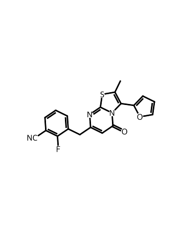 Cc1sc2nc(Cc3cccc(C#N)c3F)cc(=O)n2c1-c1ccco1